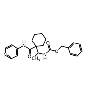 CC(NC(=O)OCc1ccccc1)C1(C(=O)Nc2ccncc2)CCCCC1